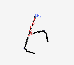 C#CC#CC#CCC/C=C\CCCCCCCCOCC(COCCOCCOCCOCCN)OCCCCCCCC/C=C\CCC#CC#CC#C